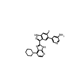 Nc1cncc(-c2cc3c(-c4nc5c(N6CCCCC6)ccnc5[nH]4)n[nH]c3cc2F)c1